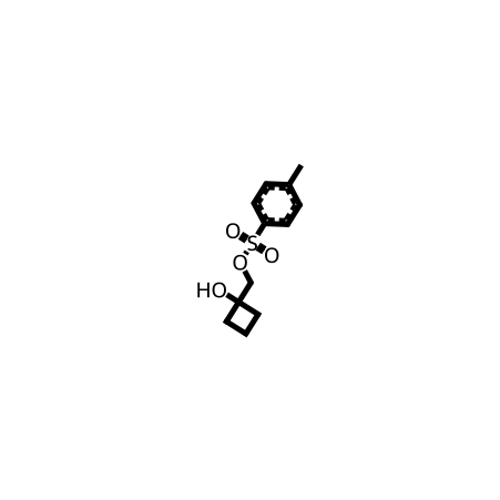 Cc1ccc(S(=O)(=O)OCC2(O)CCC2)cc1